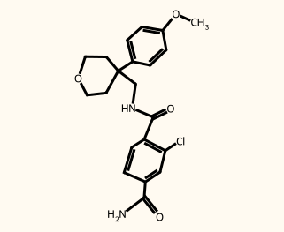 COc1ccc(C2(CNC(=O)c3ccc(C(N)=O)cc3Cl)CCOCC2)cc1